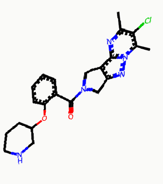 Cc1nc2c3c(nn2c(C)c1Cl)CN(C(=O)c1ccccc1OC1CCCNC1)C3